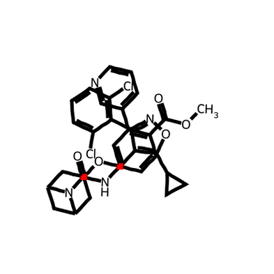 COC(=O)c1ccc(NC(=O)N2C3CC(OCc4c(-c5c(Cl)cccc5Cl)noc4C4CC4)CC2C3)cc1-c1cccnc1